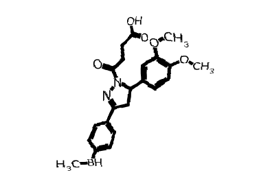 CBc1ccc(C2=NN(C(=O)CCC(=O)O)C(c3ccc(OC)c(OC)c3)C2)cc1